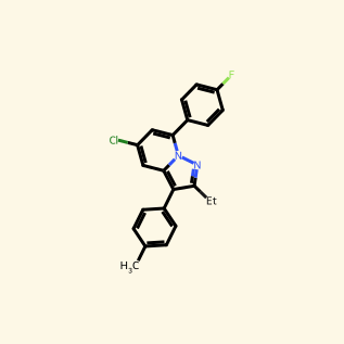 CCc1nn2c(-c3ccc(F)cc3)cc(Cl)cc2c1-c1ccc(C)cc1